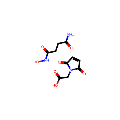 NC(=O)CCC(=O)NO.O=C(O)CN1C(=O)C=CC1=O